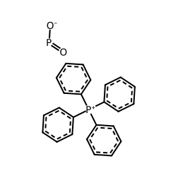 O=P[O-].c1ccc([P+](c2ccccc2)(c2ccccc2)c2ccccc2)cc1